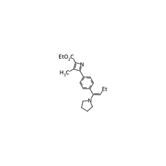 CC/C=C(\c1ccc(C2=NC(C(=O)OCC)=C2C)cc1)N1CCCC1